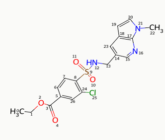 CCOC(=O)c1ccc(S(=O)(=O)NCc2cnc3c(ccn3C)c2)c(Cl)c1